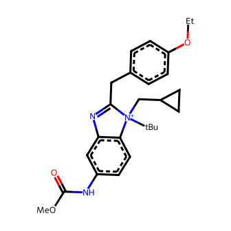 CCOc1ccc(CC2=Nc3cc(NC(=O)OC)ccc3[N+]2(CC2CC2)C(C)(C)C)cc1